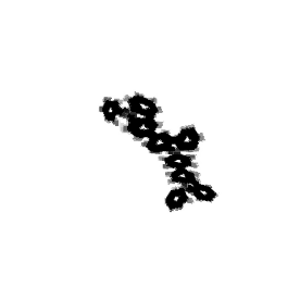 c1ccc(-n2c3ccccc3c3cc(-c4ccc(-n5c6ccccc6c6cc(-c7ccc8c(c7)c7ccccc7n8-c7ccccc7)ccc65)cc4)ccc32)cc1